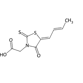 C/C=C/C=C1\SC(=S)N(CC(=O)O)C1=O